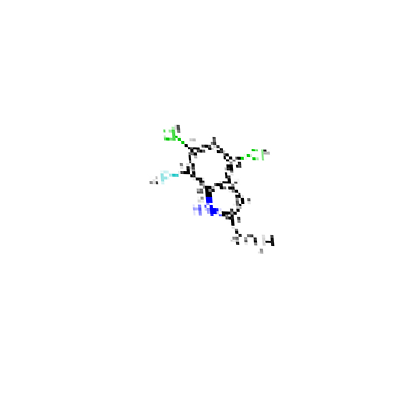 O=C(O)c1cc2c(Cl)cc(Cl)c(F)c2[nH]1